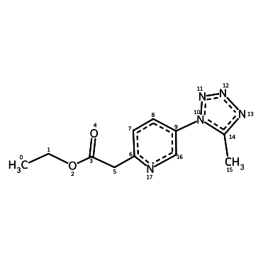 CCOC(=O)Cc1ccc(-n2nnnc2C)cn1